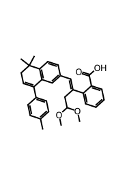 COC(CC(=Cc1ccc2c(c1)C(c1ccc(C)cc1)=CCC2(C)C)c1ccccc1C(=O)O)OC